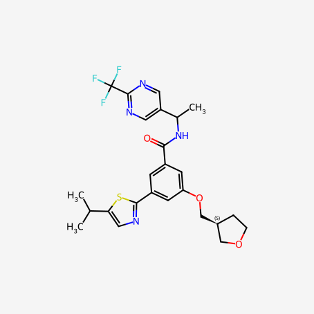 CC(C)c1cnc(-c2cc(OC[C@H]3CCOC3)cc(C(=O)NC(C)c3cnc(C(F)(F)F)nc3)c2)s1